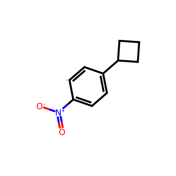 O=[N+]([O-])c1[c]cc(C2CCC2)cc1